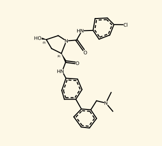 CN(C)Cc1ccccc1-c1ccc(NC(=O)[C@H]2C[C@@H](O)CN2C(=O)Nc2ccc(Cl)cc2)cc1